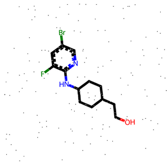 OCCC1CCC(Nc2ncc(Br)cc2F)CC1